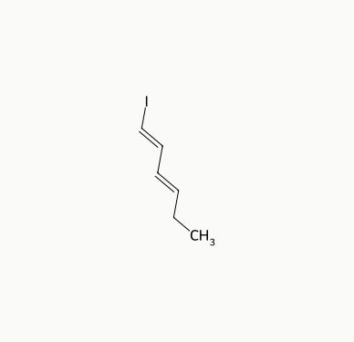 CCC=CC=CI